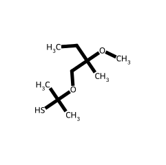 CCC(C)(COC(C)(C)S)OC